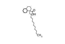 CCCCCCCCCCCCC1(C(=O)O)CCCc2ccccc21